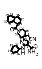 N#CCC1(n2cc(C(N)=O)c(Nc3ccccc3)n2)CCN(C(=O)c2cccc3ccccc23)CC1